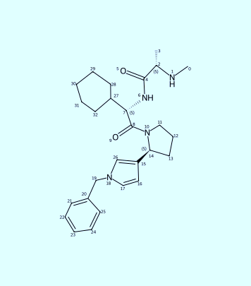 CN[C@@H](C)C(=O)N[C@H](C(=O)N1CCC[C@H]1c1ccn(Cc2ccccc2)c1)C1CCCCC1